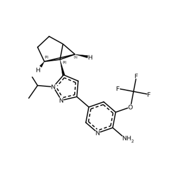 CC(C)n1nc(-c2cnc(N)c(OC(F)(F)F)c2)cc1[C@]12C3CC[C@@H]1[C@H]32